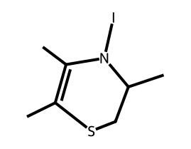 CC1=C(C)N(I)C(C)CS1